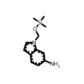 C[Si](C)(C)OCn1ccc2ccc(N)cc21